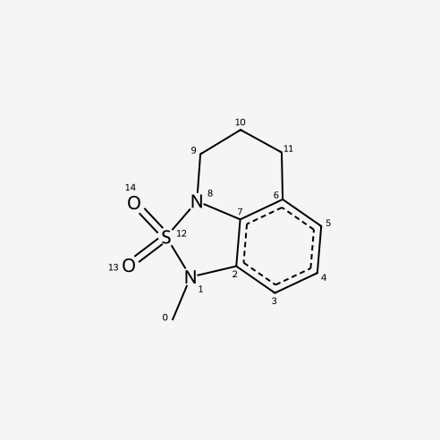 CN1c2cccc3c2N(CCC3)S1(=O)=O